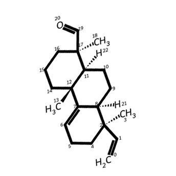 C=C[C@@]1(C)CCC=C2[C@H]1CC[C@H]1[C@@]2(C)CCC[C@@]1(C)C=O